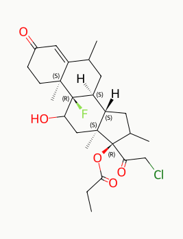 CCC(=O)O[C@]1(C(=O)CCl)C(C)C[C@H]2[C@@H]3CC(C)C4=CC(=O)CC[C@]4(C)[C@@]3(F)C(O)C[C@@]21C